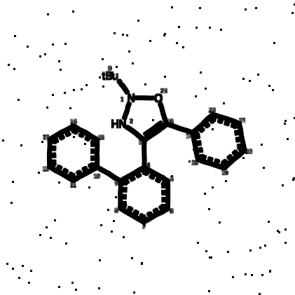 CC(C)(C)N1NC(c2ccccc2-c2ccccc2)=C(c2ccccc2)O1